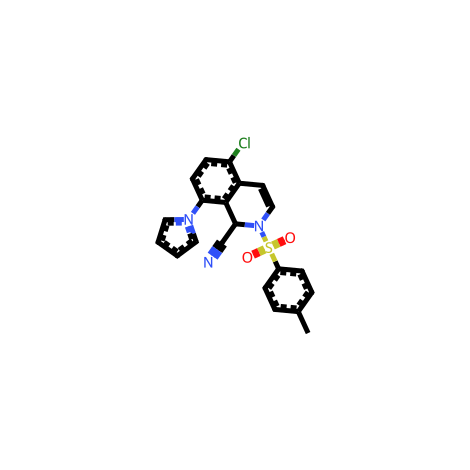 Cc1ccc(S(=O)(=O)N2C=Cc3c(Cl)ccc(-n4cccc4)c3C2C#N)cc1